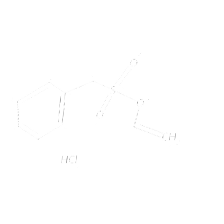 C=COS(=O)(=O)Cc1ccccc1.Cl